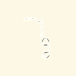 CN(CCCOc1ccc(Cc2ccsc2)cc1)CCC(=O)O